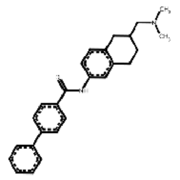 CN(C)CC1CCc2cc(NC(=O)c3ccc(-c4ccccc4)cc3)ccc2C1